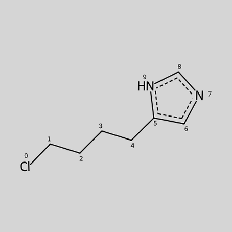 ClCCCCc1cnc[nH]1